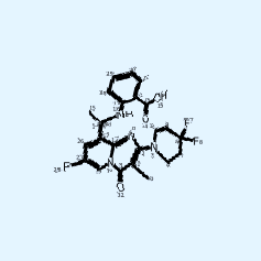 Cc1c(N2CCC(F)(F)CC2)nc2c([C@@H](C)Nc3ccccc3C(=O)O)cc(F)cn2c1=O